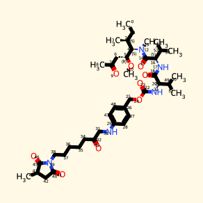 CC[C@H](C)[C@@H]([C@@H](CC(C)=O)OC)N(C)C(=O)[C@@H](NC(=O)[C@@H](NC(=O)OCc1ccc(NCC(=O)CCCCCN2C(=O)CC(C)C2=O)cc1)C(C)C)C(C)C